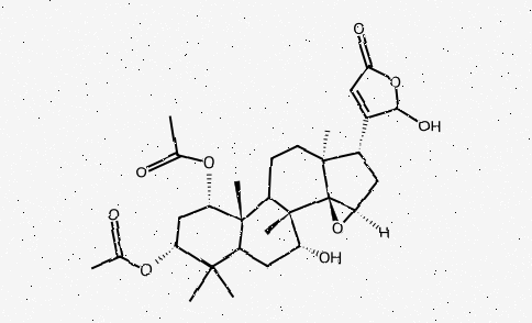 CC(=O)O[C@H]1C[C@@H](OC(C)=O)C(C)(C)C2C[C@@H](O)[C@]3(C)C(CC[C@@]4(C)[C@H](C5=CC(=O)OC5O)C[C@H]5O[C@]543)[C@]21C